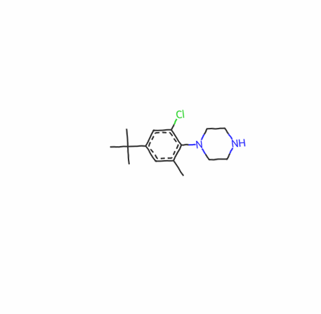 Cc1cc(C(C)(C)C)cc(Cl)c1N1CCNCC1